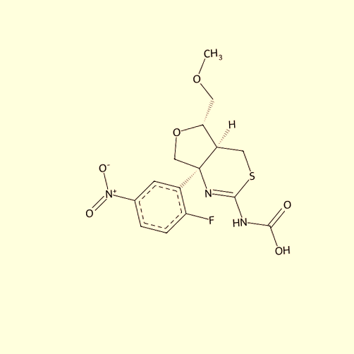 COC[C@H]1OC[C@]2(c3cc([N+](=O)[O-])ccc3F)N=C(NC(=O)O)SC[C@H]12